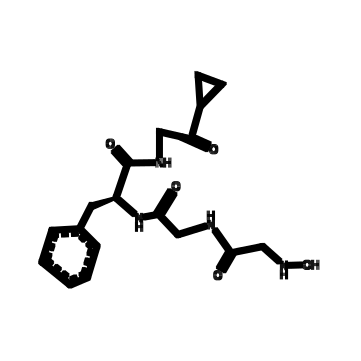 O=C(CNO)NCC(=O)N[C@@H](Cc1ccccc1)C(=O)NCC(=O)C1CC1